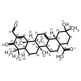 CC1(C)CC[C@]2(C(=O)O)CC[C@]3(C)C(=CC[C@@H]4[C@@]5(C)C=C(C=O)C(=O)C(C)(C)[C@@H]5CC[C@]43C)[C@@H]2C1